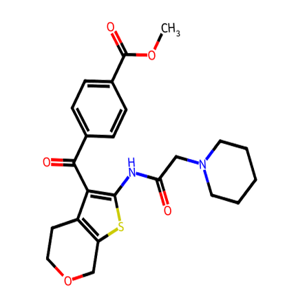 COC(=O)c1ccc(C(=O)c2c(NC(=O)CN3CCCCC3)sc3c2CCOC3)cc1